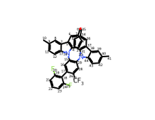 Cc1ccc2c(c1)c1cc(C)ccc1n2-c1cc(-c2c(F)cccc2F)c(C(F)(F)F)cc1-n1c2ccc(C)cc2c2cc(C)ccc21